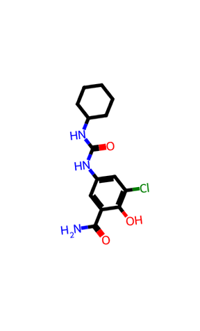 NC(=O)c1cc(NC(=O)NC2CCCCC2)cc(Cl)c1O